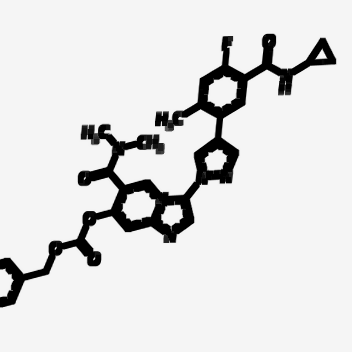 Cc1cc(F)c(C(=O)NC2CC2)cc1-c1cnn(-c2cnc3cc(OC(=O)OCc4ccccc4)c(C(=O)N(C)C)cn23)c1